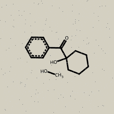 CO.O=C(c1ccccc1)C1(O)CCCCC1